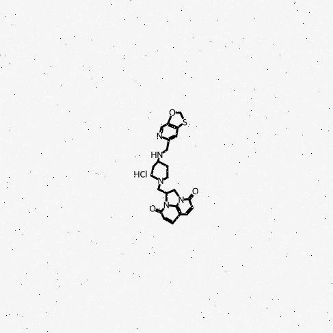 Cl.O=c1ccc2ccc(=O)n3c2n1CC3CN1CCC(NCc2cc3c(cn2)OCS3)CC1